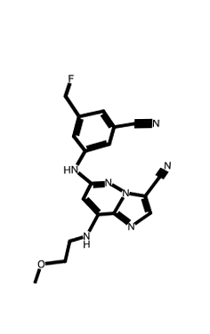 COCCNc1cc(Nc2cc(C#N)cc(CF)c2)nn2c(C#N)cnc12